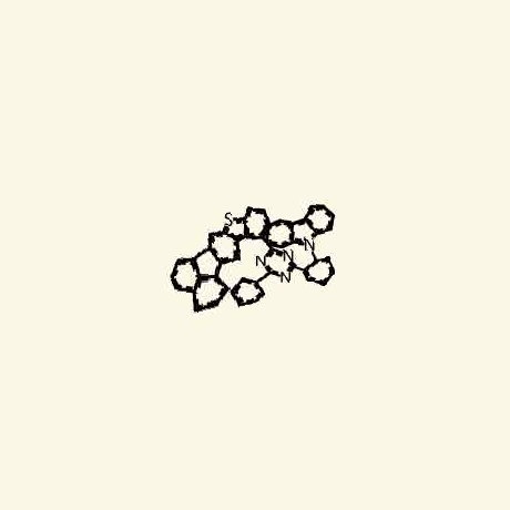 c1ccc(-c2nc(-c3ccccc3-n3c4ccccc4c4ccccc43)nc(-c3cccc4sc5cc6c(cc5c34)-c3cccc4cccc-6c34)n2)cc1